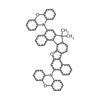 CC1(C)c2cc(N3c4ccccc4Oc4ccccc43)c3ccccc3c2-c2c1ccc1c2oc2cc(N3c4ccccc4Oc4ccccc43)c3ccccc3c21